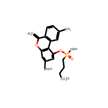 C=C1Oc2cc(CCCCC)cc(OP(=O)(CCCC(=O)OCC)OC)c2-c2cc(C)ccc21